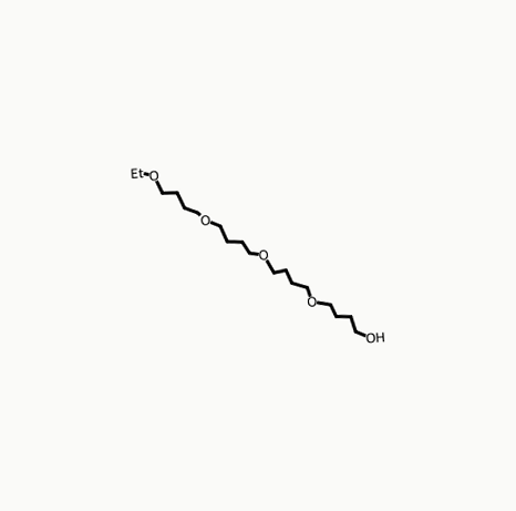 CCOCCCCOCCCCOCCCCOCCCCO